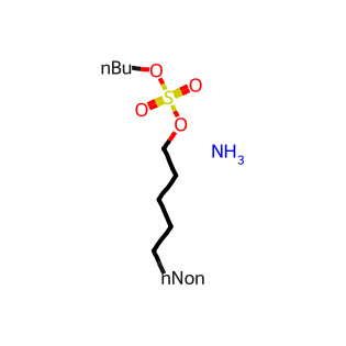 CCCCCCCCCCCCCCOS(=O)(=O)OCCCC.N